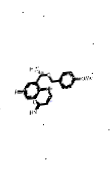 COc1ccc(CO[C@H](C)c2cc(F)ccc2N/C=C\C(=N)Cl)cc1